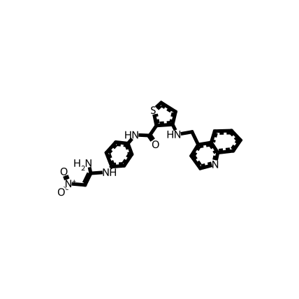 N/C(=C\[N+](=O)[O-])Nc1ccc(NC(=O)c2sccc2NCc2ccnc3ccccc23)cc1